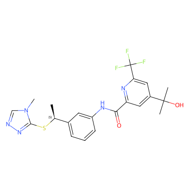 C[C@H](Sc1nncn1C)c1cccc(NC(=O)c2cc(C(C)(C)O)cc(C(F)(F)F)n2)c1